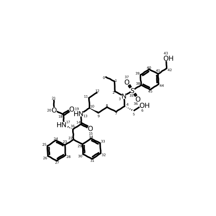 CCCN([C@H](CO)CCC[C@H](CC)NC(=O)[C@@H](NC(=O)OC)C(c1ccccc1)c1ccccc1)S(=O)(=O)c1ccc(CO)cc1